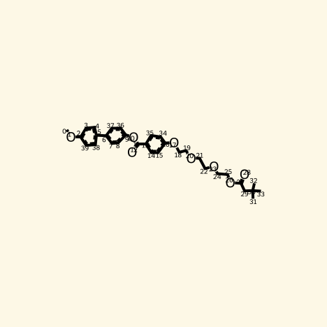 COc1ccc(-c2ccc(OC(=O)c3ccc(OCCOCCOCCOC(=O)CC(C)(C)C)cc3)cc2)cc1